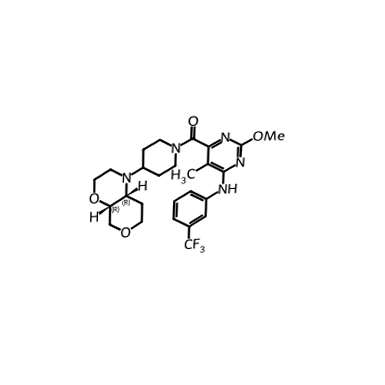 COc1nc(Nc2cccc(C(F)(F)F)c2)c(C)c(C(=O)N2CCC(N3CCO[C@H]4COCC[C@H]43)CC2)n1